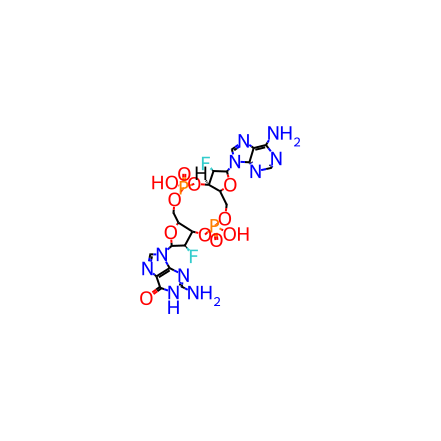 Nc1nc2c(ncn2C2OC3COP(=O)(O)O[C@@H]4C(COP(=O)(O)OC3[C@H]2F)OC(n2cnc3c(N)ncnc32)[C@@H]4F)c(=O)[nH]1